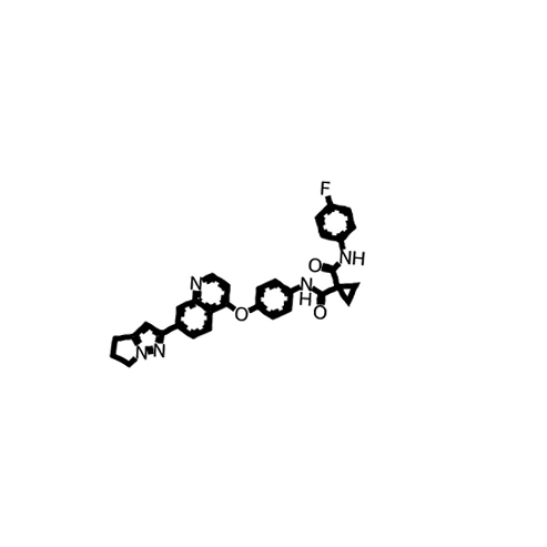 O=C(Nc1ccc(F)cc1)C1(C(=O)Nc2ccc(Oc3ccnc4cc(-c5cc6n(n5)CCC6)ccc34)cc2)CC1